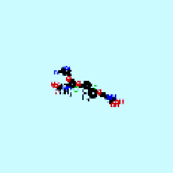 Cc1c(COc2cc(OCc3cncc(C#N)c3)c(CNC(C)(CO)C(=O)O)cc2Cl)cccc1-c1cccc(OCCCNC(CO)CO)c1Cl